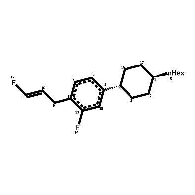 CCCCCC[C@H]1CC[C@H](c2ccc(CC=CF)c(F)c2)CC1